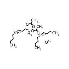 CC(=O)[O-].CC(=O)[O-].CCC[CH2][Sn+2][CH2]CCC.CCC[CH2][Sn+2][CH2]CCC.[O-2]